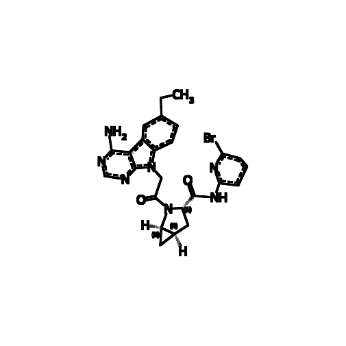 CCc1ccc2c(c1)c1c(N)ncnc1n2CC(=O)N1[C@@H]2C[C@@H]2C[C@H]1C(=O)Nc1cccc(Br)n1